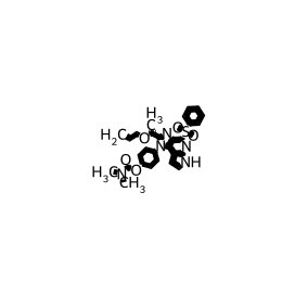 C=CCO[C@H](C)c1nc2c(S(=O)(=O)c3ccccc3)nc3[nH]ccc3c2n1C1CCC(OC(=O)N(C)C)CC1